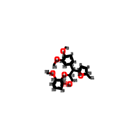 COc1ccc(C(c2ccc(C)o2)C(CO)Oc2ccccc2OC)cc1OC